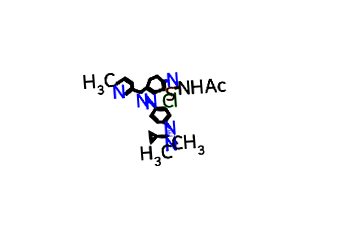 CC(=O)Nc1nc2c(s1)-c1c(c(-c3ccc(C)nc3)nn1-c1ccc(/N=C(\C3CC3)N(C)C)cc1Cl)CC2